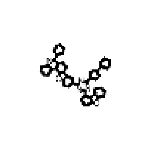 c1ccc(-c2ccc(-c3nc(-c4ccc5oc6c(ccc7c(-c8ccccc8)nc8ccccc8c76)c5c4)nc(-c4cccc5oc6ccccc6c45)n3)cc2)cc1